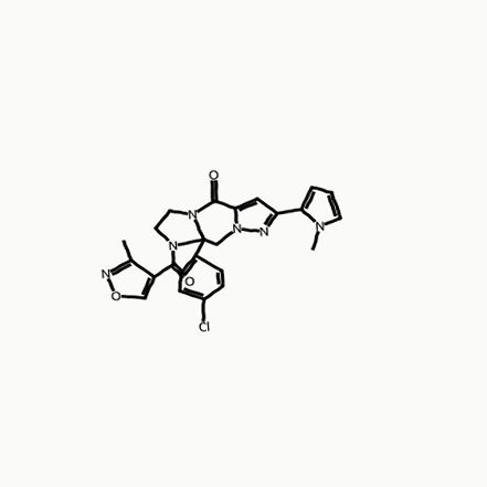 Cc1nocc1C(=O)N1CCN2C(=O)c3cc(-c4cccn4C)nn3CC12c1ccc(Cl)cc1